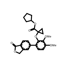 COc1ccc(-c2ccc3c(c2)COC3=O)c(OC2(C(=O)OC3CCCC3)CC2)c1OC